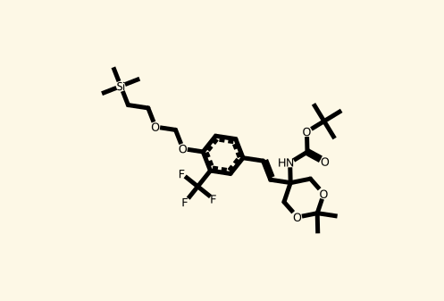 CC(C)(C)OC(=O)NC1(C=Cc2ccc(OCOCC[Si](C)(C)C)c(C(F)(F)F)c2)COC(C)(C)OC1